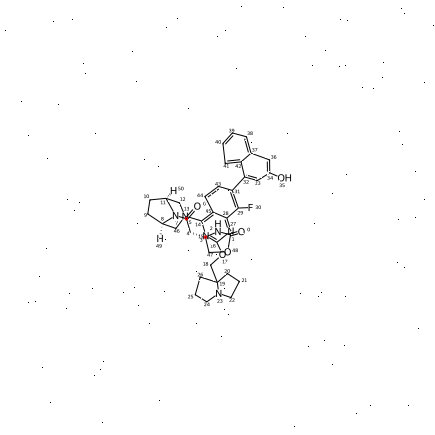 O=C1N[C@@H](CC(=O)N2[C@@H]3CC[C@H]2CN(c2nc(OCC45CCCN4CCC5)nc4c(F)c(-c5cc(O)cc6ccccc56)ccc24)C3)CO1